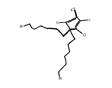 ClC1=C(Cl)C(CCCCCCBr)(CCCCCCBr)C(Cl)=C1Cl